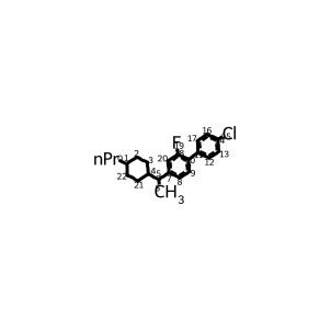 CCCC1CCC(C(C)c2ccc(-c3ccc(Cl)cc3)c(F)c2)CC1